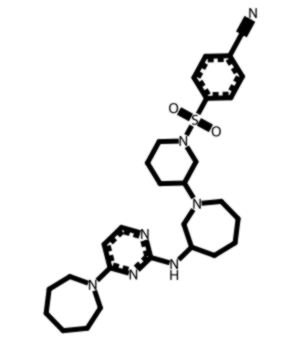 N#Cc1ccc(S(=O)(=O)N2CCCC(N3CCCCC(Nc4nccc(N5CCCCCC5)n4)C3)C2)cc1